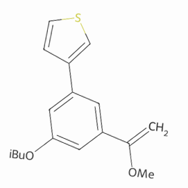 C=C(OC)c1cc(OCC(C)C)cc(-c2ccsc2)c1